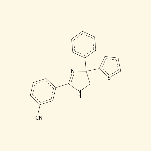 N#Cc1cccc(C2=NC(c3ccccc3)(c3cccs3)CN2)c1